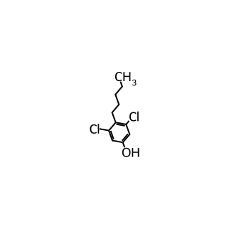 CCCCCc1c(Cl)cc(O)cc1Cl